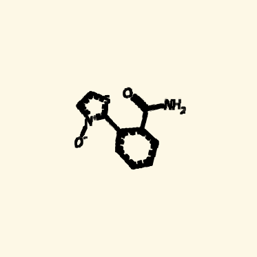 NC(=O)c1ccccc1-c1scc[n+]1[O-]